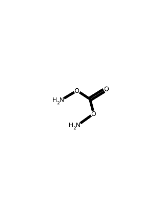 NOC(=O)ON